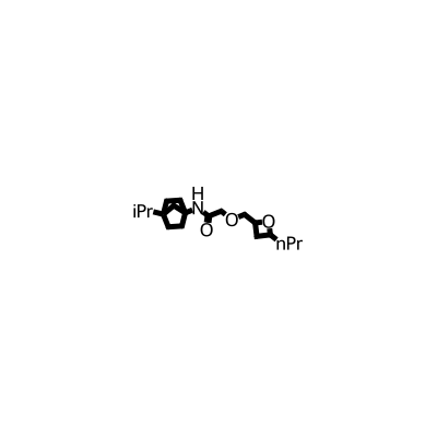 CCCC1CC(COCC(=O)NC23CCC(C(C)C)(CC2)C3)O1